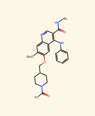 CCC(=O)N1CCC(COc2cc3c(Nc4ccccc4)c(C(=O)NC(C)(C)C)cnc3cc2OC)CC1